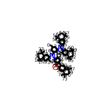 Cc1cc2c3c(c1)N(c1cc4c(cc1C)C(C)(C)CCC4(C)C)c1cc4oc5cc6c(cc5c4cc1B3c1cc3c(cc1N2c1ccc2c(c1)C(C)(C)CCC2(C)C)C(C)(C)CCC3(C)C)C(C)(C)CCC6(C)C